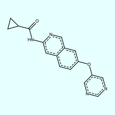 O=C(Nc1cc2ccc(Oc3cncnc3)cc2cn1)C1CC1